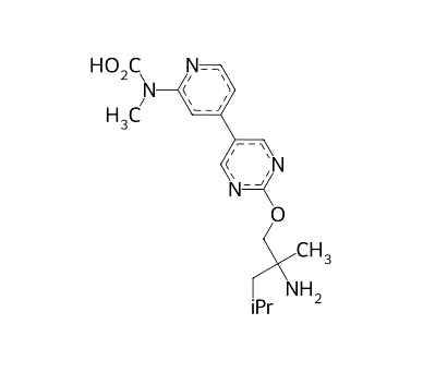 CC(C)CC(C)(N)COc1ncc(-c2ccnc(N(C)C(=O)O)c2)cn1